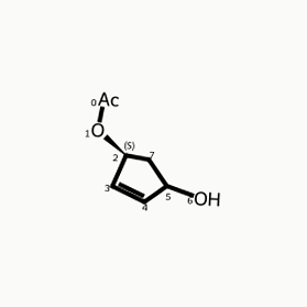 CC(=O)O[C@@H]1C=CC(O)C1